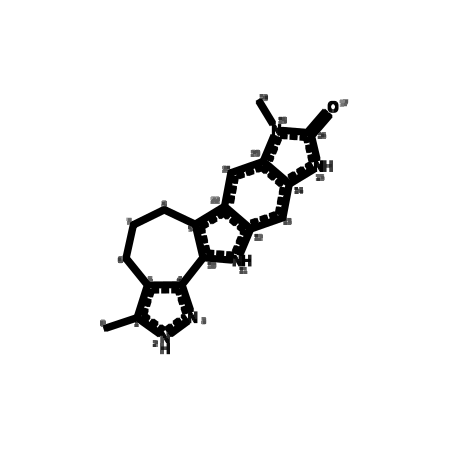 Cc1[nH]nc2c1CCCc1c-2[nH]c2cc3[nH]c(=O)n(C)c3cc12